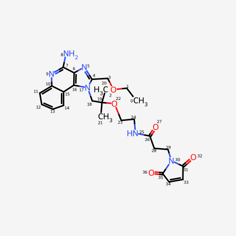 CCOCc1nc2c(N)nc3ccccc3c2n1CC(C)(C)OCCNC(=O)CCN1C(=O)C=CC1=O